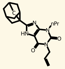 C=CCn1c(=O)c2[nH]c(C34CC5CC(CC3C5)C4)nc2n(CCC)c1=O